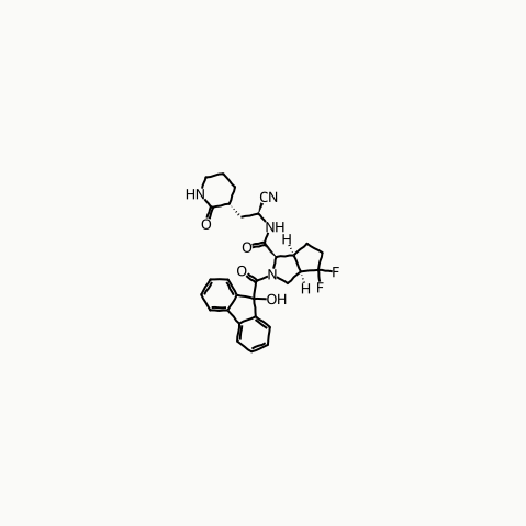 N#C[C@H](C[C@H]1CCCNC1=O)NC(=O)[C@H]1[C@H]2CCC(F)(F)[C@H]2CN1C(=O)C1(O)c2ccccc2-c2ccccc21